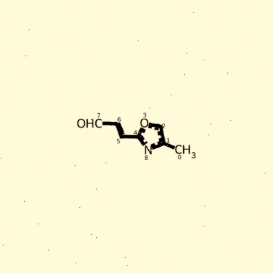 Cc1coc(C=CC=O)n1